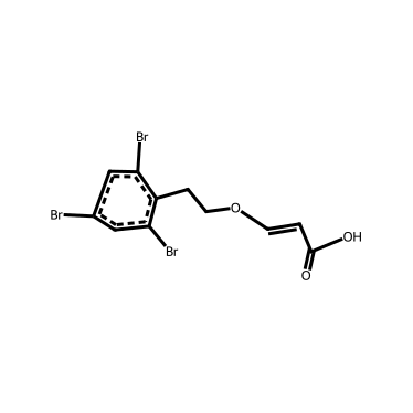 O=C(O)C=COCCc1c(Br)cc(Br)cc1Br